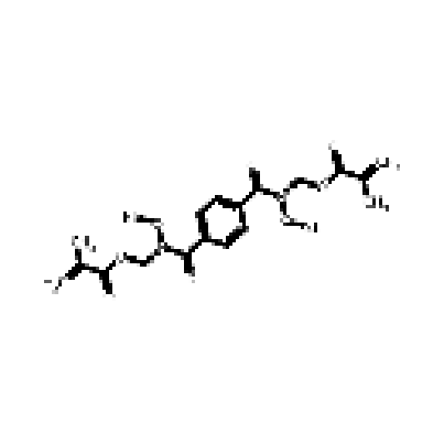 C=C(C)C(=O)OCN(OCC)C(=O)c1ccc(C(=O)N(COC(=O)C(=C)C)OCC)cc1